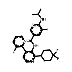 CC(C)Nc1ncc(C(=O)Nc2c(-c3ncccc3F)ccnc2C2CCC(F)(F)CC2)cc1F